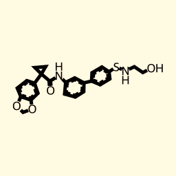 O=C(Nc1cccc(-c2ccc(SNCCO)cc2)c1)C1(c2ccc3c(c2)OCO3)CC1